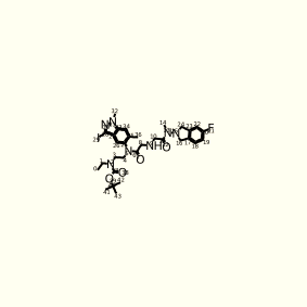 CCN(CCN(C(=O)CNCC(=O)N(C)N1Cc2ccc(F)cc2C1)c1cc2c(I)nn(C)c2cc1C)C(=O)OC(C)(C)C